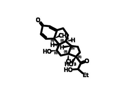 CCC(O)C(=O)[C@@]1(O)CC[C@H]2[C@@H]3CCC4=CC(=O)C=C[C@]4(C)[C@H]3[C@@H](O)C[C@@]21C